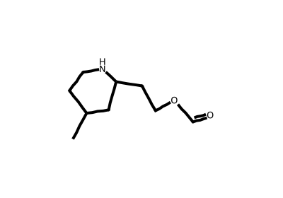 CC1CCNC(CCOC=O)C1